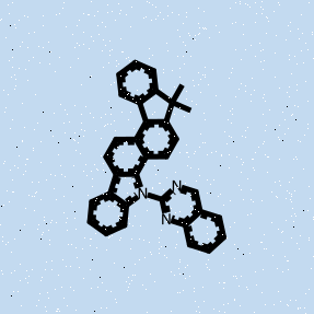 CC1(C)c2ccccc2-c2c1ccc1c2ccc2c3ccccc3n(-c3ncc4ccccc4n3)c12